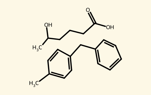 CC(O)CCCC(=O)O.Cc1ccc(Cc2ccccc2)cc1